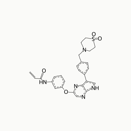 C=CC(=O)Nc1cccc(Oc2cnc3[nH]cc(-c4ccc(CN5CCS(=O)(=O)CC5)cc4)c3n2)c1